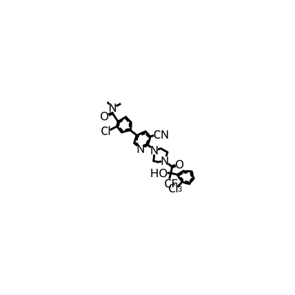 CN(C)C(=O)c1ccc(-c2cnc(N3CCN(C(=O)C(O)(c4ccccc4Cl)C(F)(F)F)CC3)c(C#N)c2)cc1Cl